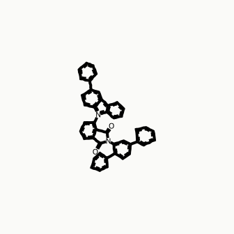 O=C1c2cccc(-n3c4ccccc4c4cc(-c5ccccc5)ccc43)c2C(=O)N1c1cc(-c2ccccc2)ccc1-c1ccccc1